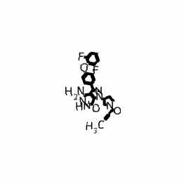 CC#CC(=O)N1CCC(n2nc(-c3ccc(Oc4c(F)cccc4F)cc3)c3c(N)n[nH]c(=O)c32)C1